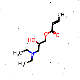 CC=CC(=O)OCC(O)CN(CC)CC